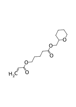 C=CC(=O)OCCCCC(=O)OCC1CCCCO1